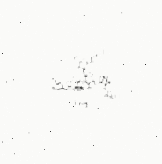 CCCCC(=O)OC(CCC)OC(=O)C1=C(CSc2nnnn2CCN(C)C)CS[C@@H]2[C@H](NC(=O)Cc3csc(N)n3)C(=O)N12.Cl.Cl